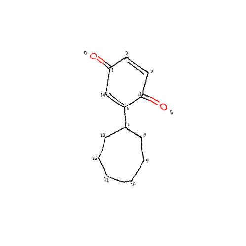 O=C1C=CC(=O)C(C2CCCCCC2)=C1